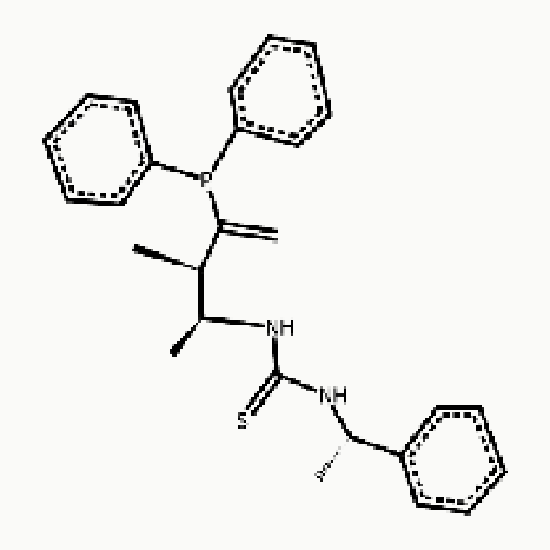 C=C([C@H](C)[C@H](C)NC(=S)N[C@@H](C)c1ccccc1)P(c1ccccc1)c1ccccc1